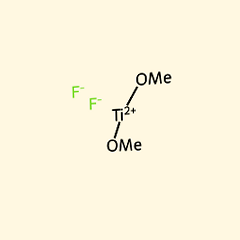 C[O][Ti+2][O]C.[F-].[F-]